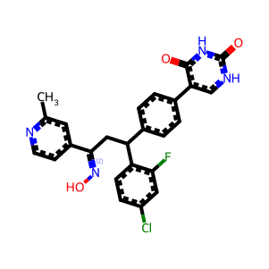 Cc1cc(/C(CC(c2ccc(-c3c[nH]c(=O)[nH]c3=O)cc2)c2ccc(Cl)cc2F)=N\O)ccn1